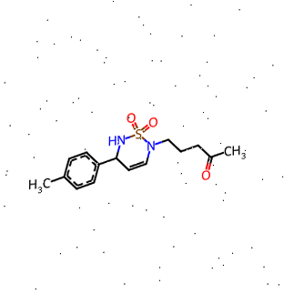 CC(=O)CCCN1C=CC(c2ccc(C)cc2)NS1(=O)=O